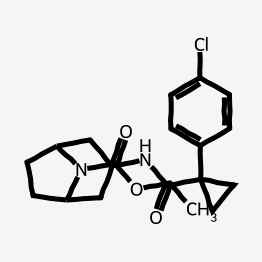 CCOC(=O)N1C2CCC1CC(NC(=O)C1(c3ccc(Cl)cc3)CC1)C2